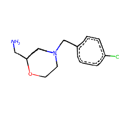 NCC1CN(Cc2ccc(Cl)cc2)CCO1